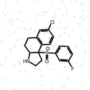 O=S(=O)(c1cccc(F)c1)C12CCNC1CCc1cc(Cl)ccc12